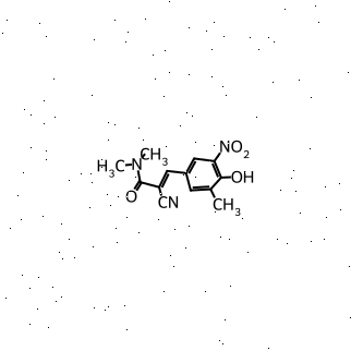 Cc1cc(/C=C(\C#N)C(=O)N(C)C)cc([N+](=O)[O-])c1O